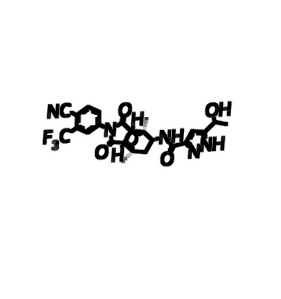 CC(O)c1cc(C(=O)N[C@H]2C[C@]3(C)O[C@@]2(C)[C@H]2C(=O)N(c4ccc(C#N)c(C(F)(F)F)c4)C(=O)[C@H]23)n[nH]1